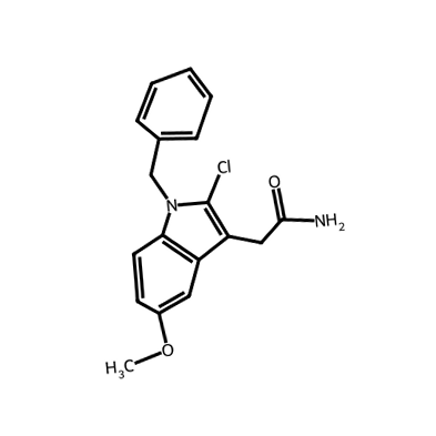 COc1ccc2c(c1)c(CC(N)=O)c(Cl)n2Cc1ccccc1